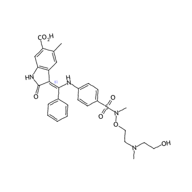 Cc1cc2c(cc1C(=O)O)NC(=O)/C2=C(/Nc1ccc(S(=O)(=O)N(C)OCCN(C)CCO)cc1)c1ccccc1